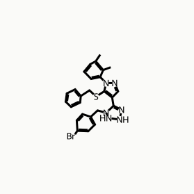 Cc1cccc(-n2ncc(C3=NNNN3Cc3ccc(Br)cc3)c2SCc2ccccc2)c1C